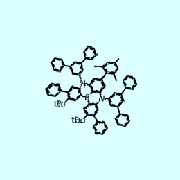 Cc1cc(C)c(-c2cc3c4c(c2)N(c2cc(-c5ccccc5)cc(-c5ccccc5)c2)c2cc(-c5ccccc5)c(C(C)(C)C)cc2B4c2cc(C(C)(C)C)c(-c4ccccc4)cc2N3c2cc(-c3ccccc3)cc(-c3ccccc3)c2)c(C)c1